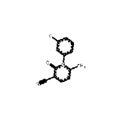 Cc1ccc(C#N)c(=O)n1-c1cccc(F)c1